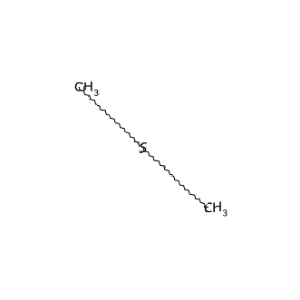 CCCCCCCCCCCCCCCCCCCCCCCCCCSCCCCCCCCCCCCCCCCCCCCCCCCCC